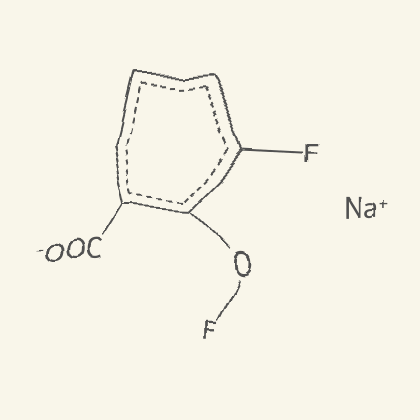 O=C([O-])c1cccc(F)c1OF.[Na+]